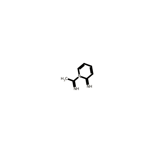 CC(=N)n1ccccc1=N